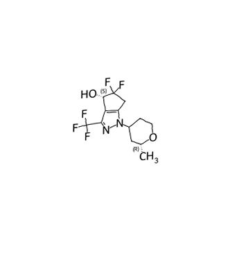 C[C@@H]1CC(n2nc(C(F)(F)F)c3c2CC(F)(F)[C@H]3O)CCO1